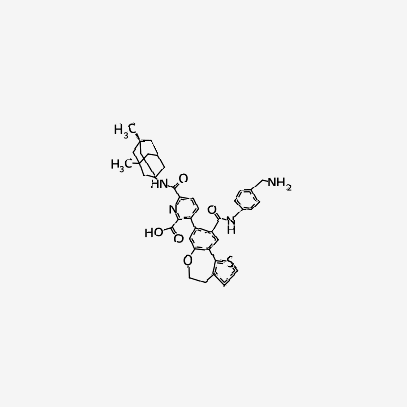 CC12CC3CC(NC(=O)c4ccc(-c5cc6c(cc5C(=O)Nc5ccc(CN)cc5)-c5sccc5CCO6)c(C(=O)O)n4)(C1)C[C@@](C)(C3)C2